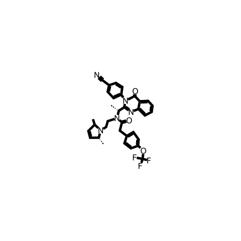 CC1C=C[C@@H](C)N1CCN(C(=O)Cc1ccc(OC(F)(F)F)cc1)[C@H](C)c1nc2ccccc2c(=O)n1-c1ccc(C#N)cc1